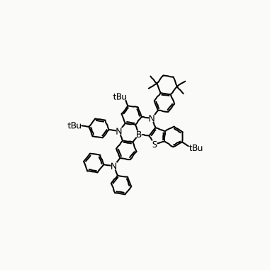 CC(C)(C)c1ccc(N2c3cc(N(c4ccccc4)c4ccccc4)ccc3B3c4sc5cc(C(C)(C)C)ccc5c4N(c4ccc5c(c4)C(C)(C)CCC5(C)C)c4cc(C(C)(C)C)cc2c43)cc1